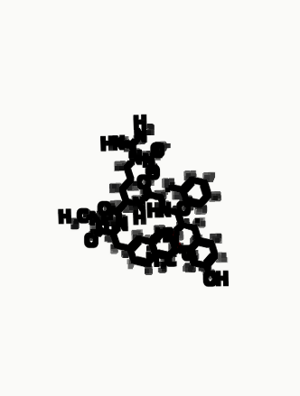 CNC(=O)C(Cc1ccc2ccccc2c1)NC(=O)C(CCCN(C(=N)N)[N+](=O)[O-])NC(=O)[C@H](Cc1ccccc1)NC(=O)[C@@H](Cc1ccc(O)cc1)NC(C)=O